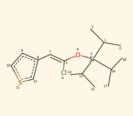 CC(C)[Si](OC(Cl)=Cc1ccsc1)(C(C)C)C(C)C